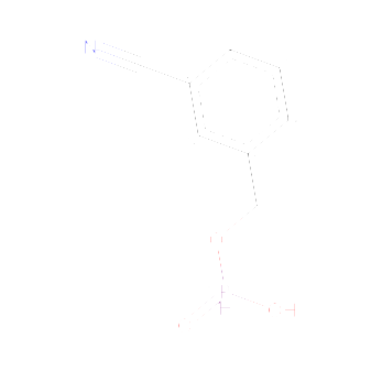 N#Cc1cccc(CO[PH](=O)O)c1